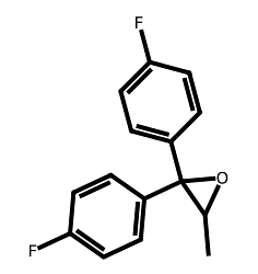 CC1OC1(c1ccc(F)cc1)c1ccc(F)cc1